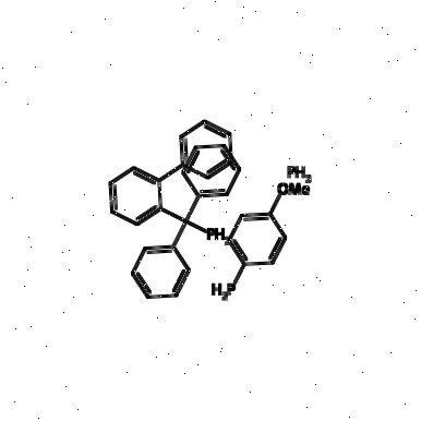 COc1ccc(P)cc1.P.PC(c1ccccc1)(c1ccccc1)c1ccccc1-c1ccccc1